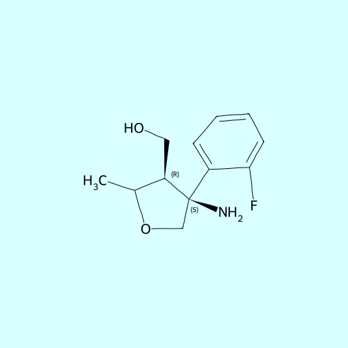 CC1OC[C@@](N)(c2ccccc2F)[C@@H]1CO